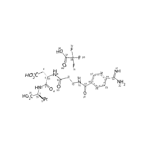 CC(C)[C@H](NC(=O)[C@H](CC(=O)O)NC(=O)CCNC(=O)c1ccc(C(=N)N)cc1)C(=O)O.O=C(O)C(F)(F)F